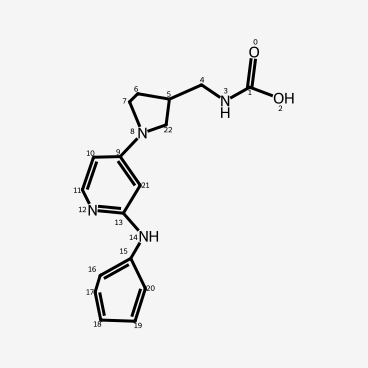 O=C(O)NCC1CCN(c2ccnc(Nc3ccccc3)c2)C1